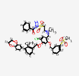 Cc1c(COc2cc(OCc3cccc(S(C)(=O)=O)c3)c(CN(C)CCS(=O)(=O)NC(=O)c3ccccc3)cc2Cl)cccc1-c1ccc2c(c1)OCCO2